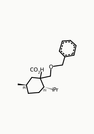 CC(C)[C@@H]1CC[C@@H](C)CC1(COCc1ccccc1)C(=O)O